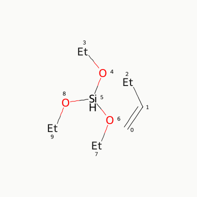 C=CCC.CCO[SiH](OCC)OCC